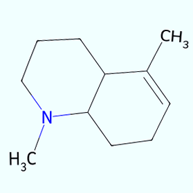 CC1=CCCC2C1CCCN2C